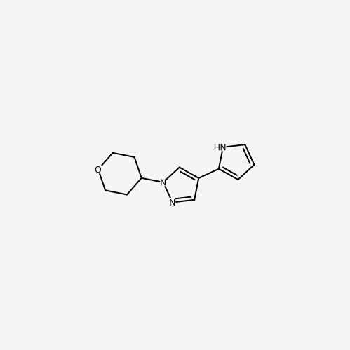 c1c[nH]c(-c2cnn(C3CCOCC3)c2)c1